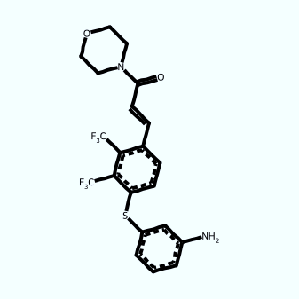 Nc1cccc(Sc2ccc(/C=C/C(=O)N3CCOCC3)c(C(F)(F)F)c2C(F)(F)F)c1